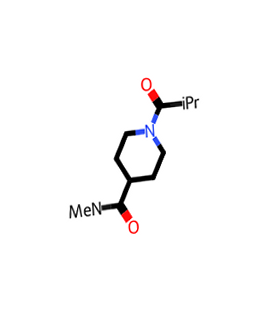 CNC(=O)C1CCN(C(=O)C(C)C)CC1